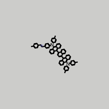 Cc1ccc(/C=C/c2ccc(N(c3ccc(C)cc3)c3c4ccccc4c(-c4ccc(-c5c6ccccc6c(N(c6ccc(C)cc6)c6ccc(C)cc6)c6ccccc56)c5ccccc45)c4ccccc34)cc2)cc1